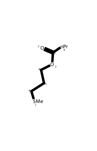 CCCC(=O)OCCCSC